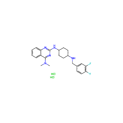 CN(C)c1nc(NC2CCC(NCc3ccc(F)c(F)c3)CC2)nc2ccccc12.Cl.Cl